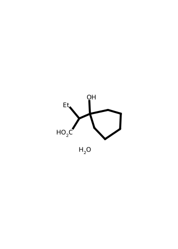 CCC(C(=O)O)C1(O)CCCCC1.O